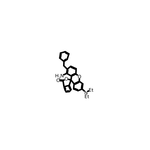 CCN(CC)c1ccc2c(c1)Oc1ccc(Cc3ccccc3)c(N)c1C21OC(=O)c2ccccc21